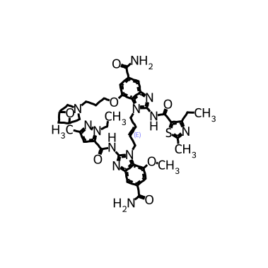 CCc1nc(C)sc1C(=O)Nc1nc2cc(C(N)=O)cc(OCCCN3CC4CC(C3)O4)c2n1C/C=C/Cn1c(NC(=O)c2cc(C)nn2CC)nc2cc(C(N)=O)cc(OC)c21